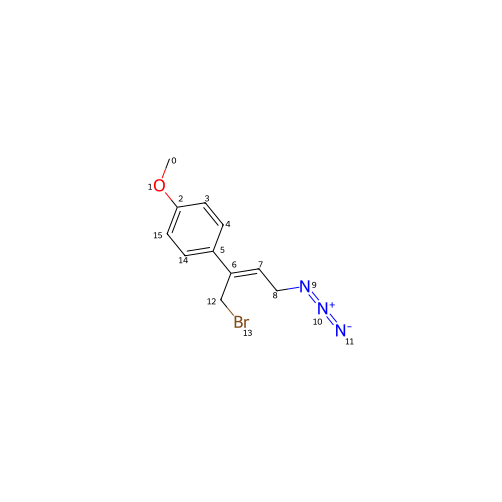 COc1ccc(/C(=C/CN=[N+]=[N-])CBr)cc1